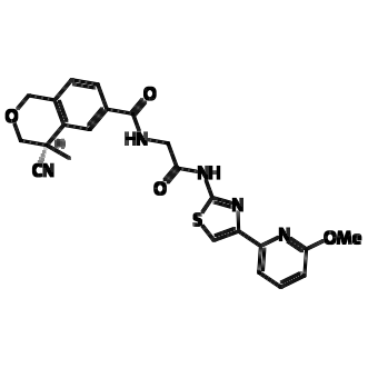 COc1cccc(-c2csc(NC(=O)CNC(=O)c3ccc4c(c3)[C@](C)(C#N)COC4)n2)n1